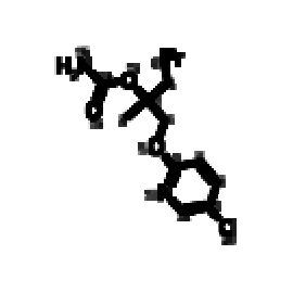 CC(C)CC(C)(COc1ccc(Cl)cn1)OC(N)=O